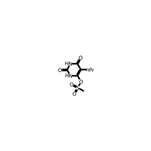 CCCc1c(OS(C)(=O)=O)[nH]c(=O)[nH]c1=O